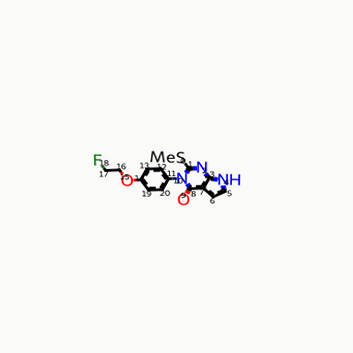 CSc1nc2[nH]ccc2c(=O)n1-c1ccc(OCCF)cc1